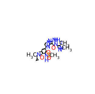 Cc1c(NC(=O)c2c(N)nn3ccc(-c4cc5c(c(NS(C)(=O)=O)c4)C(=O)N(C(C)C4CC4)C5)nc23)cnn1C